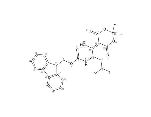 CC(C)CC(NC(=O)OCC1c2ccccc2-c2ccccc21)C(O)=C1C(=O)OC(C)(C)OC1=O